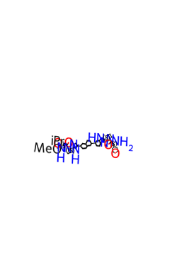 COC(=O)N[C@H](C(=O)N1CCC[C@H]1c1ncc(-c2ccc3cc(-c4ccc5nc([C@@H]6CCCN6C(=O)[C@@H](N)C6CCOCC6)[nH]c5c4)ccc3c2)[nH]1)C(C)C